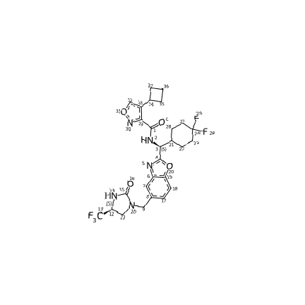 O=C(N[C@H](c1nc2cc(CN3C[C@@H](C(F)(F)F)NC3=O)ccc2o1)C1CCC(F)(F)CC1)c1nocc1C1CCC1